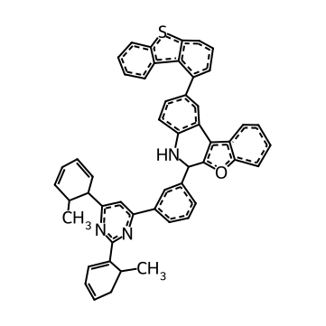 CC1CC=CC=C1c1nc(-c2cccc(C3Nc4ccc(-c5cccc6sc7ccccc7c56)cc4-c4c3oc3ccccc43)c2)cc(C2C=CC=CC2C)n1